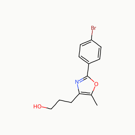 Cc1oc(-c2ccc(Br)cc2)nc1CCCO